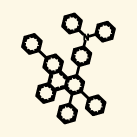 c1ccc(-c2ccc3c(c2)c2ccccc2c2c(-c4ccccc4)c(-c4ccccc4)cc(-c4ccc(N(c5ccccc5)c5ccccc5)cc4)c32)cc1